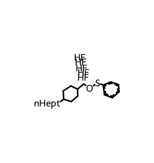 CCCCCCCC1CCC(COSc2ccccc2)CC1.F.F.F.F.F